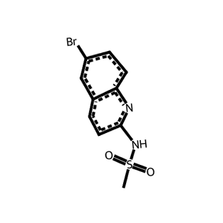 CS(=O)(=O)Nc1ccc2cc(Br)ccc2n1